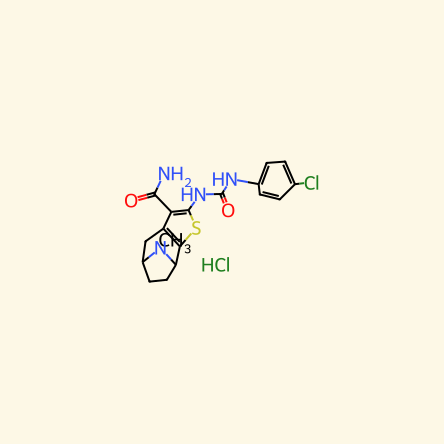 CN1C2CCC1c1sc(NC(=O)Nc3ccc(Cl)cc3)c(C(N)=O)c1C2.Cl